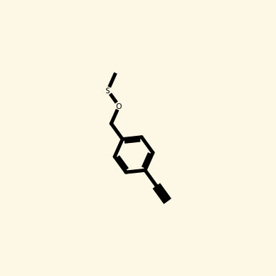 C#Cc1ccc(COSC)cc1